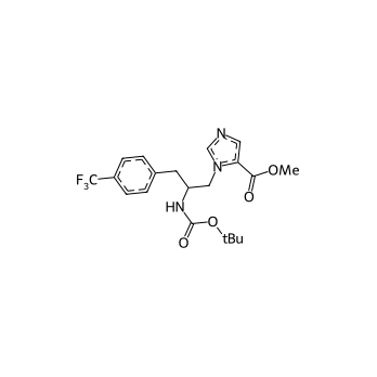 COC(=O)c1cncn1CC(Cc1ccc(C(F)(F)F)cc1)NC(=O)OC(C)(C)C